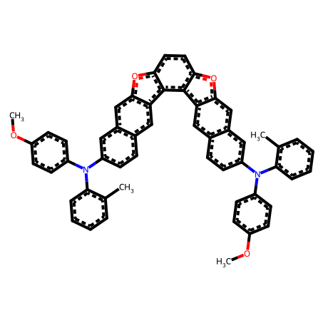 COc1ccc(N(c2ccc3cc4c(cc3c2)oc2ccc3oc5cc6cc(N(c7ccc(OC)cc7)c7ccccc7C)ccc6cc5c3c24)c2ccccc2C)cc1